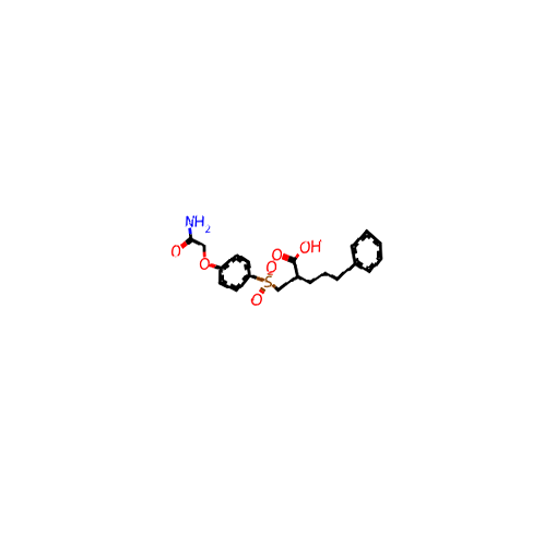 NC(=O)COc1ccc(S(=O)(=O)CC(CCCc2ccccc2)C(=O)O)cc1